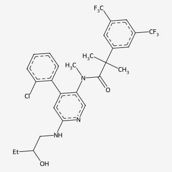 CCC(O)CNc1cc(-c2ccccc2Cl)c(N(C)C(=O)C(C)(C)c2cc(C(F)(F)F)cc(C(F)(F)F)c2)cn1